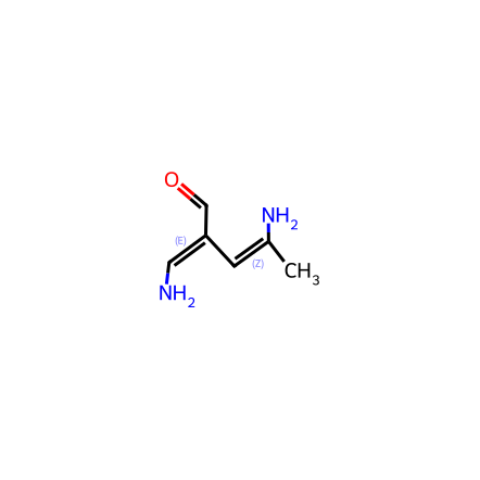 C/C(N)=C/C(C=O)=C\N